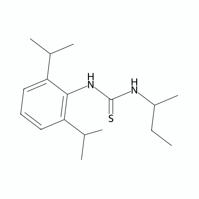 CCC(C)NC(=S)Nc1c(C(C)C)cccc1C(C)C